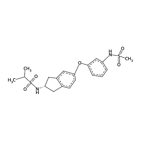 CC(C)S(=O)(=O)N[C@H]1Cc2ccc(Oc3cccc(NS(C)(=O)=O)c3)cc2C1